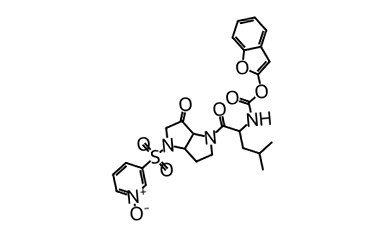 CC(C)CC(NC(=O)Oc1cc2ccccc2o1)C(=O)N1CCC2C1C(=O)CN2S(=O)(=O)c1ccc[n+]([O-])c1